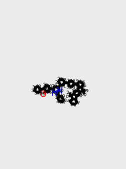 CC1(C)c2ccccc2-c2cc3c(cc21)-c1c(-c2ccc(-c4cccc(-c5cc(-c6ccc7c(c6)oc6ccccc67)nc(-c6ccccc6)n5)c4)cc2)cccc1C3(C)C